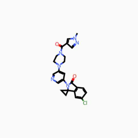 Cn1cc(C(=O)N2CCN(c3cncc(N4C(=O)c5ccc(Cl)cc5C45CC5)c3)CC2)cn1